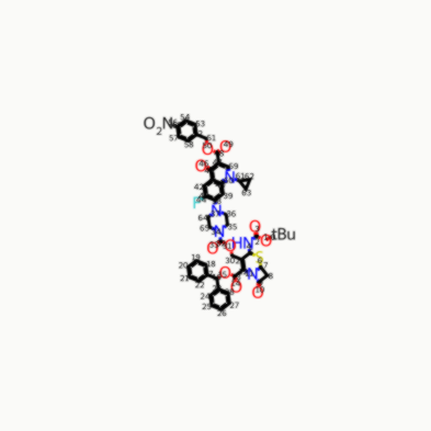 CC(C)(C)OC(=O)NC1SC2CC(=O)N2C(C(=O)OC(c2ccccc2)c2ccccc2)=C1COC(=O)N1CCN(c2cc3c(cc2F)c(=O)c(C(=O)OCc2ccc([N+](=O)[O-])cc2)cn3C2CC2)CC1